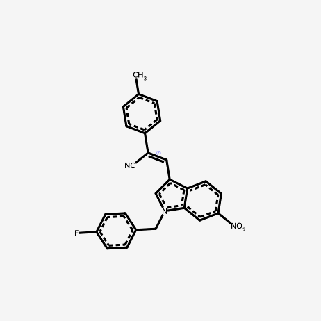 Cc1ccc(/C(C#N)=C/c2cn(Cc3ccc(F)cc3)c3cc([N+](=O)[O-])ccc23)cc1